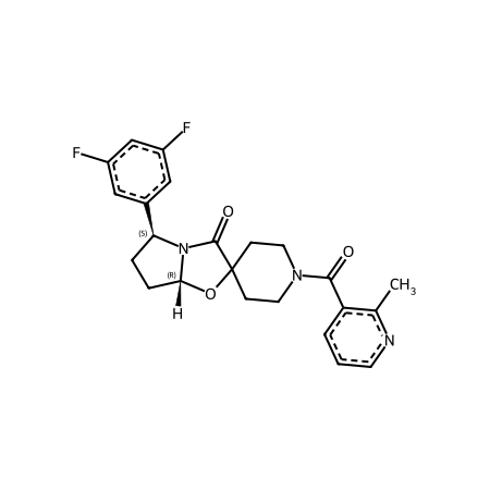 Cc1ncccc1C(=O)N1CCC2(CC1)O[C@@H]1CC[C@@H](c3cc(F)cc(F)c3)N1C2=O